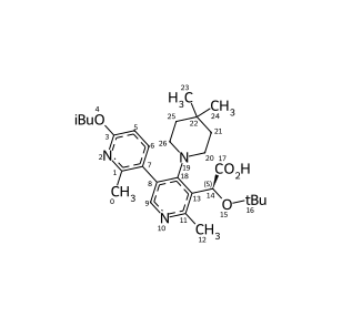 Cc1nc(OCC(C)C)ccc1-c1cnc(C)c([C@H](OC(C)(C)C)C(=O)O)c1N1CCC(C)(C)CC1